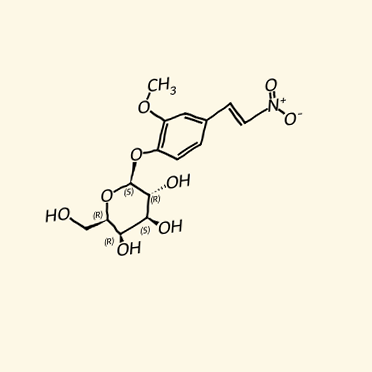 COc1cc(C=C[N+](=O)[O-])ccc1O[C@@H]1O[C@H](CO)[C@H](O)[C@H](O)[C@H]1O